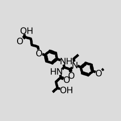 CCN(C(=O)C(NC(=O)CC(C)O)Nc1ccc(OCCCC(=O)O)cc1)c1ccc(OC)cc1